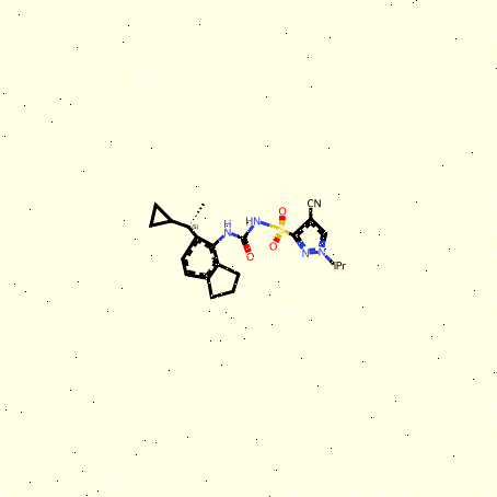 CC(C)n1cc(C#N)c(S(=O)(=O)NC(=O)Nc2c([C@@H](C)C3CC3)ccc3c2CCC3)n1